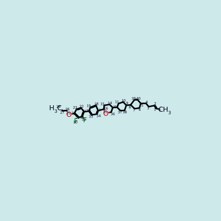 C/C=C/CCC1CCC(C2CCC(C3CCC(c4ccc(-c5ccc(OCCC)c(F)c5F)cc4)OC3)CC2)CC1